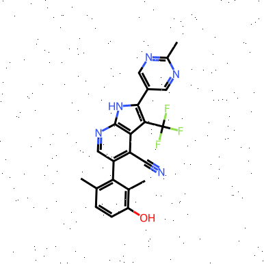 Cc1ncc(-c2[nH]c3ncc(-c4c(C)ccc(O)c4C)c(C#N)c3c2C(F)(F)F)cn1